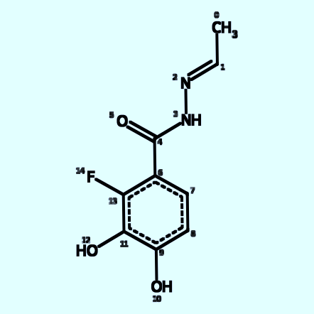 C/C=N/NC(=O)c1ccc(O)c(O)c1F